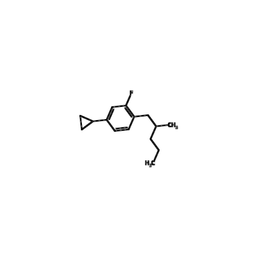 CCCC(C)Cc1ccc(C2CC2)cc1F